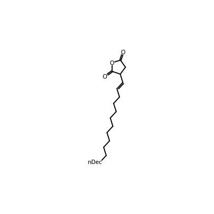 CCCCCCCCCCCCCCCCCCC/C=C/C1CC(=O)OC1=O